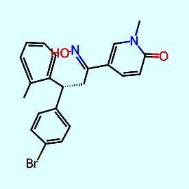 Cc1ccccc1[C@H](C/C(=N\O)c1ccc(=O)n(C)c1)c1ccc(Br)cc1